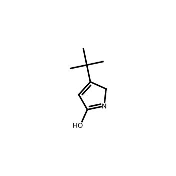 CC(C)(C)C1=CC(O)=NC1